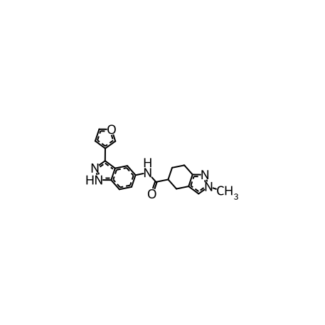 Cn1cc2c(n1)CCC(C(=O)Nc1ccc3[nH]nc(-c4ccoc4)c3c1)C2